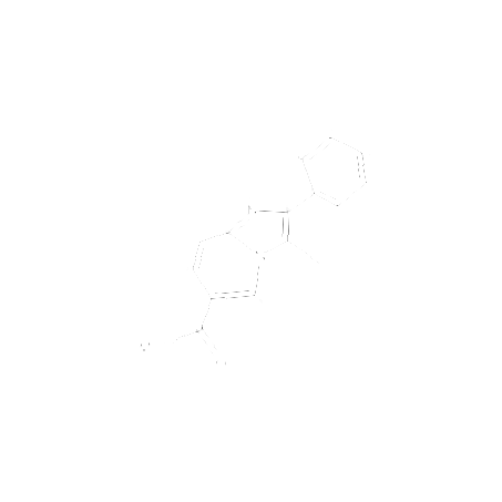 COC(=O)c1ccc2nc(-c3ccccc3)c(C)n2c1